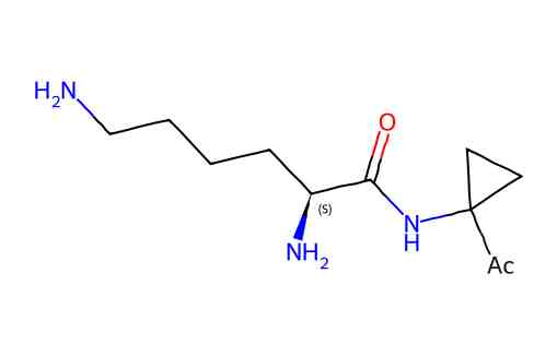 CC(=O)C1(NC(=O)[C@@H](N)CCCCN)CC1